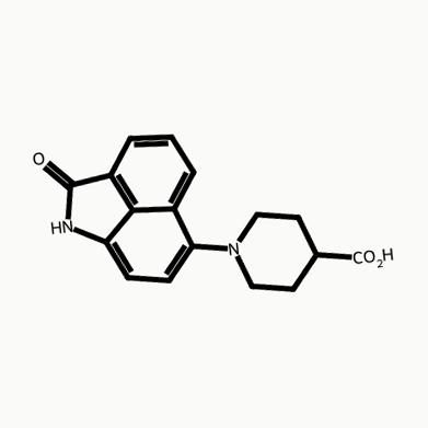 O=C1Nc2ccc(N3CCC(C(=O)O)CC3)c3cccc1c23